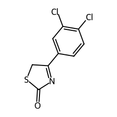 O=C1N=C(c2ccc(Cl)c(Cl)c2)CS1